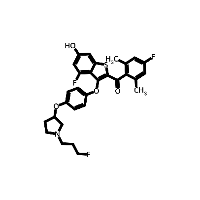 Cc1cc(F)cc(C)c1C(=O)c1sc2cc(O)cc(F)c2c1Oc1ccc(OC2CCN(CCCF)C2)cc1